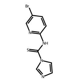 S=C(Nc1ccc(Br)cn1)n1ccnc1